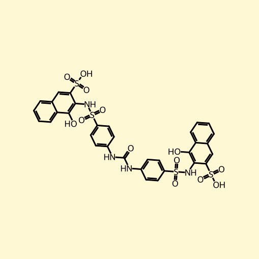 O=C(Nc1ccc(S(=O)(=O)Nc2c(S(=O)(=O)O)cc3ccccc3c2O)cc1)Nc1ccc(S(=O)(=O)Nc2c(S(=O)(=O)O)cc3ccccc3c2O)cc1